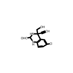 C#CC1(CO)NC(C=O)Nc2ccc(Cl)cc21